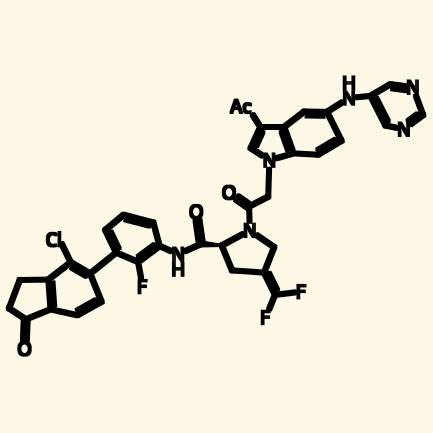 CC(=O)c1cn(CC(=O)N2CC(=C(F)F)C[C@H]2C(=O)Nc2cccc(-c3ccc4c(c3Cl)CCC4=O)c2F)c2ccc(Nc3cncnc3)cc12